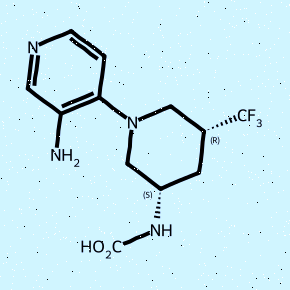 Nc1cnccc1N1C[C@@H](NC(=O)O)C[C@@H](C(F)(F)F)C1